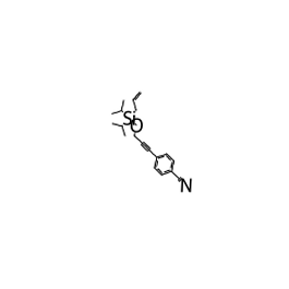 C=CC[Si](OCC#Cc1ccc(C#N)cc1)(C(C)C)C(C)C